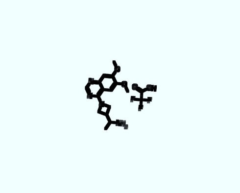 COc1cc2ncnc(N3CC(C(C)N)C3)c2cc1OC.O=C(O)C(F)(F)F